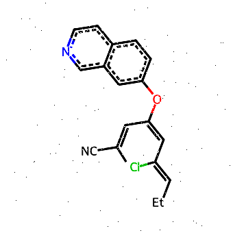 CC/C=C(Cl)/C=C(\C=C(/C)C#N)Oc1ccc2ccncc2c1